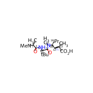 CNC(C)C(=O)N[C@H](C(=O)N(C)[C@H](/C=C(\C)C(=O)O)C(C)C)C(C)(C)C